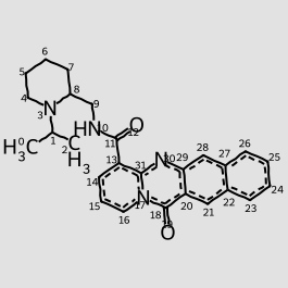 CC(C)N1CCCCC1CNC(=O)c1cccn2c(=O)c3cc4ccccc4cc3nc12